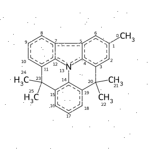 Cc1cc2c3c(c1)c1cccc4c1n3-c1c(cccc1C2(C)C)C4(C)C